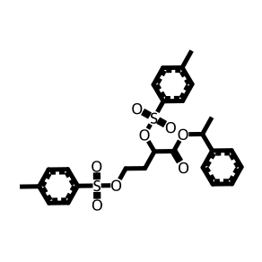 Cc1ccc(S(=O)(=O)OCCC(OS(=O)(=O)c2ccc(C)cc2)C(=O)OC(C)c2ccccc2)cc1